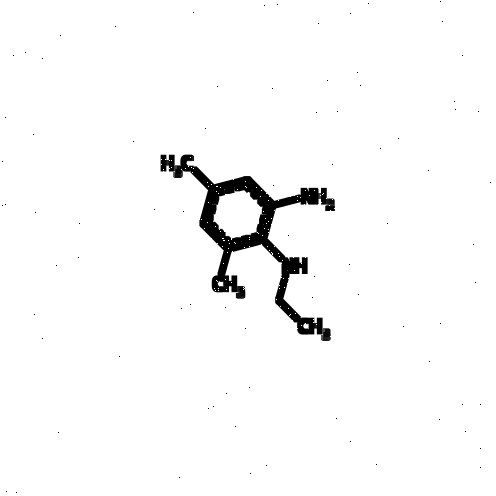 CCNc1c(C)cc(C)cc1N